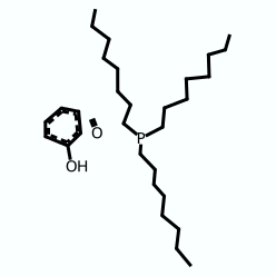 C=O.CCCCCCCCP(CCCCCCCC)CCCCCCCC.Oc1ccccc1